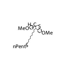 CCCCCSCCCCCCCCCC1c2ccc(OC)cc2SCC1(C)c1ccc(OC)cc1